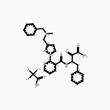 CN(Cc1ccccc1)Cc1ccn(-c2ncccc2C(=O)NC(Cc2ccccc2)C(=O)C(N)=O)n1.O=C(O)C(F)(F)F